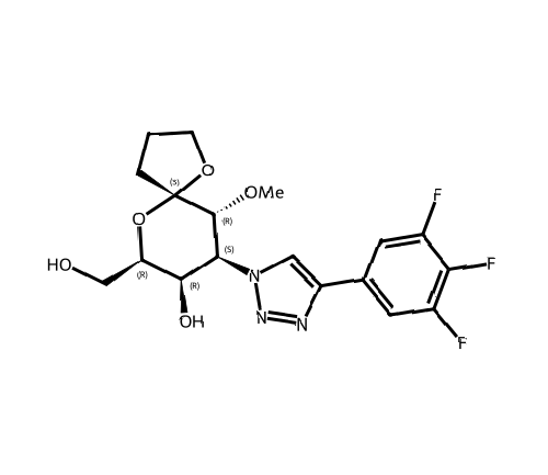 CO[C@@H]1[C@@H](n2cc(-c3cc(F)c(F)c(F)c3)nn2)[C@@H](O)[C@@H](CO)O[C@@]12CCCO2